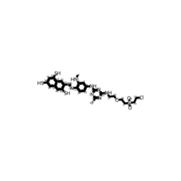 CNc1cc(Nc2nc(F)nc(NCCOCCS(=O)(=O)CCCl)n2)ccc1N=Nc1cc2c(S)cc(S)cc2cc1S